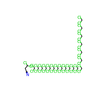 ClCCl.ClCCl.ClCCl.ClCCl.ClCCl.ClCCl.ClCCl.ClCCl.ClCCl.ClCCl.ClCCl.ClCCl.ClCCl.ClCCl.ClCCl.ClCCl.ClCCl.ClCCl.ClCCl.N#CCC(Cl)Cl